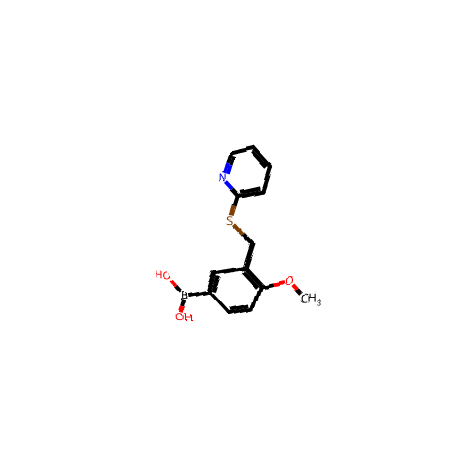 COc1ccc(B(O)O)cc1CSc1ccccn1